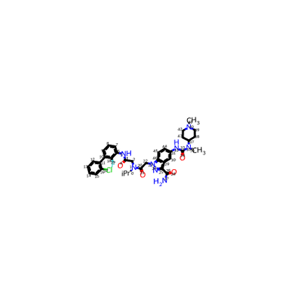 CC(C)N(CC(=O)Nc1cccc(-c2ccccc2Cl)c1F)C(=O)Cn1nc(C(N)=O)c2cc(NC(=O)N(C)C3CCN(C)CC3)ccc21